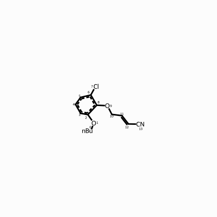 CCCCOc1cccc(Cl)c1OCC=CC#N